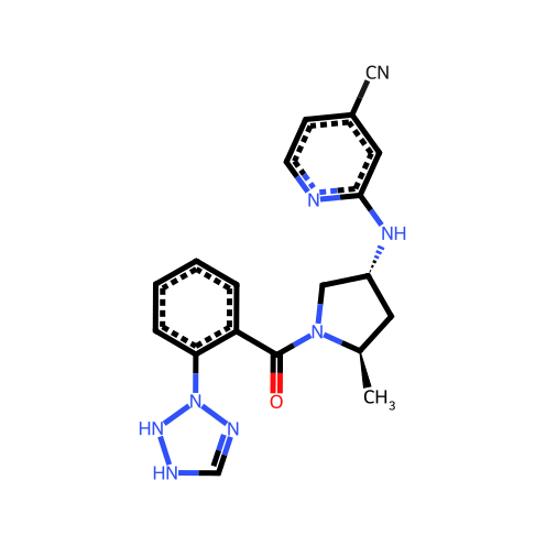 C[C@@H]1C[C@@H](Nc2cc(C#N)ccn2)CN1C(=O)c1ccccc1N1N=CNN1